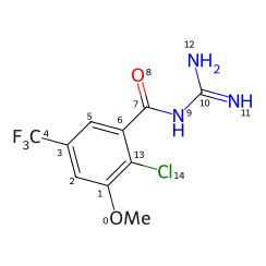 COc1cc(C(F)(F)F)cc(C(=O)NC(=N)N)c1Cl